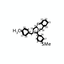 CSc1ccc(C2N(Cc3ccc(C)cc3)CCN2Cc2ccccc2F)cc1